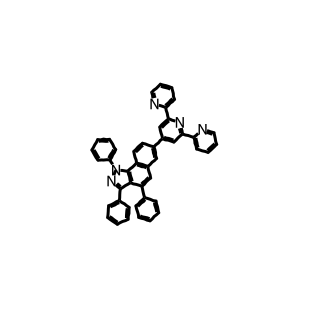 c1ccc(-c2cc3cc(-c4cc(-c5ccccn5)nc(-c5ccccn5)c4)ccc3c3c2c(-c2ccccc2)nn3-c2ccccc2)cc1